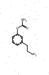 NC[CH]c1cccc(OC(N)=O)c1